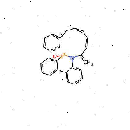 C=C1/C=C\C=C/Cc2ccccc2[P@]2(=O)c3ccccc3-c3ccccc3N12